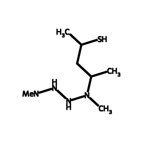 CNNNN(C)C(C)CC(C)S